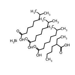 CC(C)CCCCCC(=O)O.CC(C)CCCCCC(=O)O.CC(C)CCCCCC(=O)O.CCCCC(CC)C(=O)O.[BiH3]